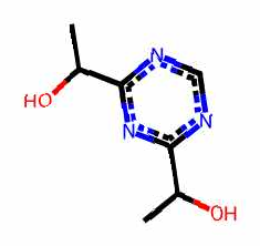 CC(O)c1ncnc(C(C)O)n1